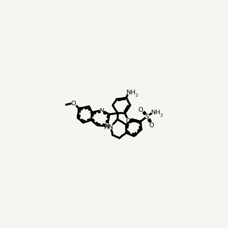 COC1=CC(N)=CCC1(c1ncc2ccc(OC)cc2n1)C1NCCc2ccc(S(N)(=O)=O)cc21